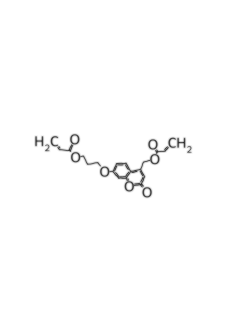 C=CC(=O)OCCCOc1ccc2c(COC(=O)C=C)cc(=O)oc2c1